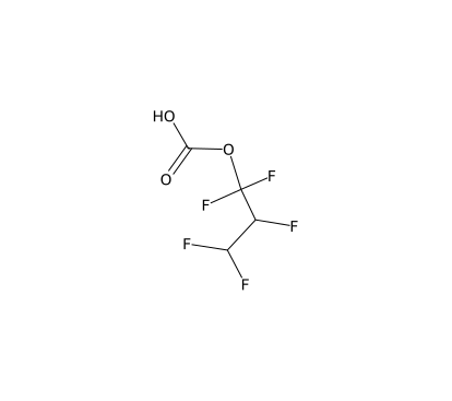 O=C(O)OC(F)(F)C(F)C(F)F